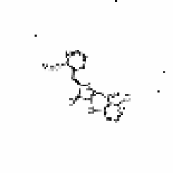 COc1ncccc1C=C1SC([AsH]c2c(Cl)cccc2Cl)=NC1=O